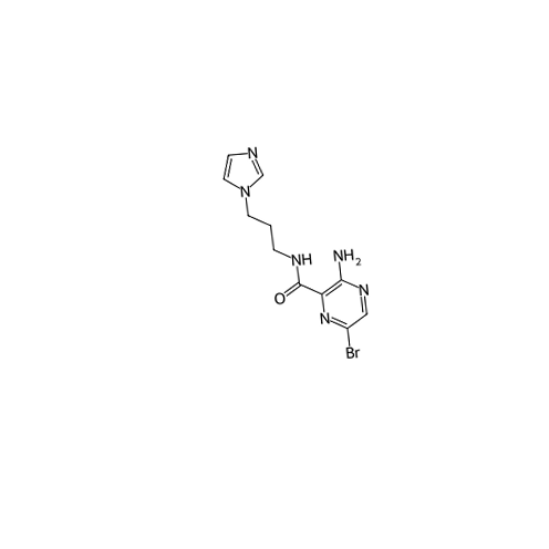 Nc1ncc(Br)nc1C(=O)NCCCn1ccnc1